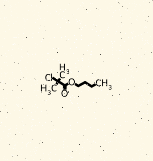 CCCCOC(=O)C(C)(C)Cl